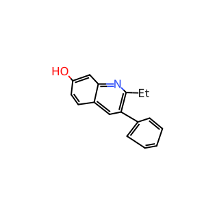 CCc1nc2cc(O)ccc2cc1-c1ccccc1